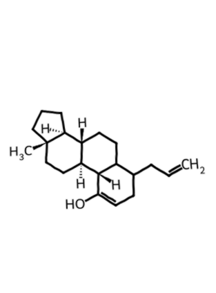 C=CCC1CC=C(O)[C@H]2C1CC[C@@H]1[C@@H]2CC[C@]2(C)CCC[C@@H]12